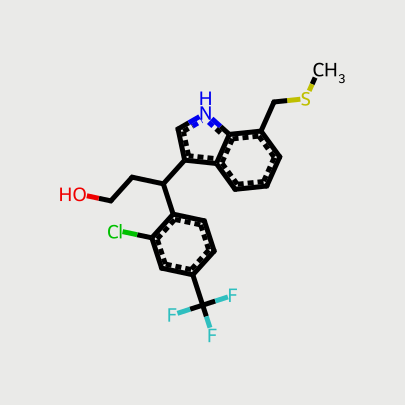 CSCc1cccc2c(C(CCO)c3ccc(C(F)(F)F)cc3Cl)c[nH]c12